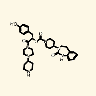 O=C(O[C@H](Cc1ccc(O)cc1)C(=O)N1CCN(C2CCNCC2)CC1)N1CCC(N2CCc3ccccc3NC2=O)CC1